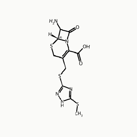 CSc1nc(SCC2=C(C(=O)O)N3C(=O)C(N)[C@H]3SC2)n[nH]1